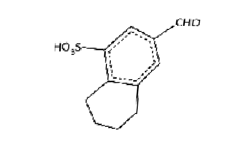 O=Cc1cc2c(c(S(=O)(=O)O)c1)CCCC2